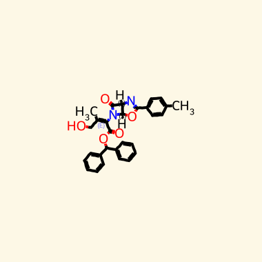 C/C(CO)=C(/C(=O)OC(c1ccccc1)c1ccccc1)N1C(=O)[C@@H]2N=C(c3ccc(C)cc3)O[C@@H]21